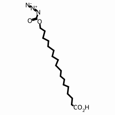 [N-]=[N+]=NC(=O)OCCCCCCCCCCCCCCCCCC(=O)O